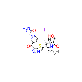 C[C@@H](O)[C@H]1C(=O)N2C(C(=O)O)=C(c3cn4cnc(C(=O)c5ccc[n+](CC(N)=O)c5)c4s3)[C@H](C)[C@H]12.[I-]